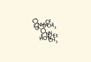 CCC1=NN(c2cc(O[C@@H](C)C(F)(F)F)c(C(=O)Nc3ccccc3F)cc2F)[C@@H](O)N1C